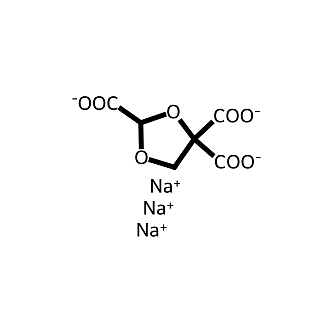 O=C([O-])C1OCC(C(=O)[O-])(C(=O)[O-])O1.[Na+].[Na+].[Na+]